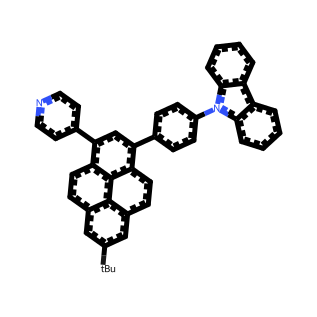 CC(C)(C)c1cc2ccc3c(-c4ccncc4)cc(-c4ccc(-n5c6ccccc6c6ccccc65)cc4)c4ccc(c1)c2c34